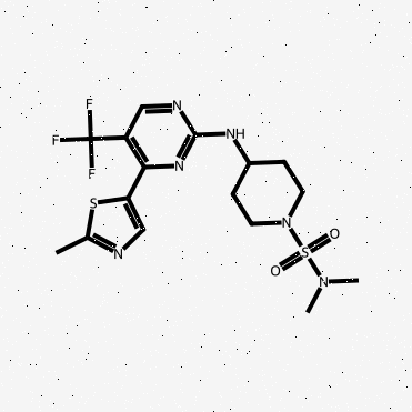 Cc1ncc(-c2nc(NC3CCN(S(=O)(=O)N(C)C)CC3)ncc2C(F)(F)F)s1